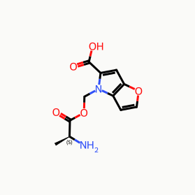 C[C@H](N)C(=O)OCn1c(C(=O)O)cc2occc21